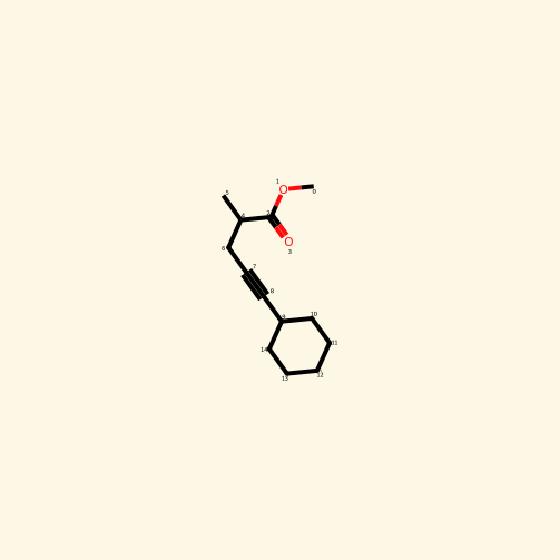 COC(=O)C(C)CC#CC1CC[CH]CC1